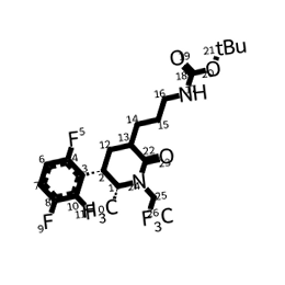 C[C@@H]1[C@H](c2c(F)ccc(F)c2F)CC(CCCNC(=O)OC(C)(C)C)C(=O)N1CC(F)(F)F